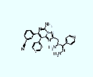 N#Cc1cccc(-c2nc(N)n3nc(CN(N)/C(=N\N)c4ccncc4)nc3c2-c2ccncn2)c1